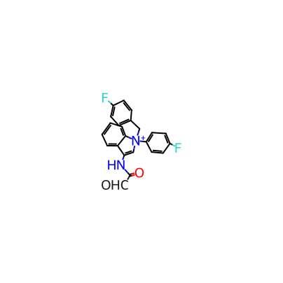 O=CC(=O)NC1=C[N+](Cc2ccc(F)cc2)(c2ccc(F)cc2)c2ccccc21